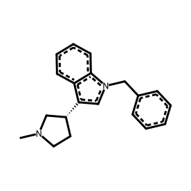 CN1CC[C@@H](c2cn(Cc3ccccc3)c3ccccc23)C1